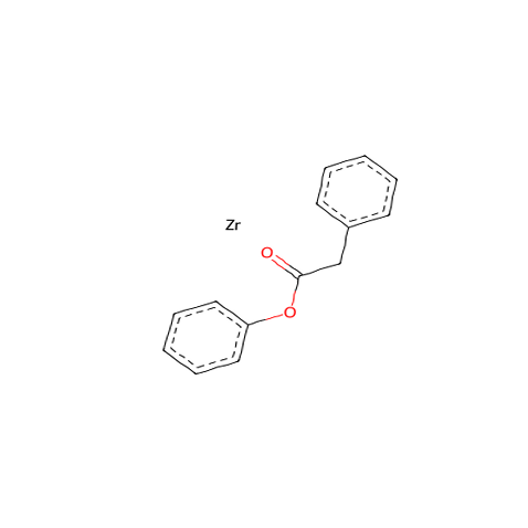 O=C(Cc1ccccc1)Oc1ccccc1.[Zr]